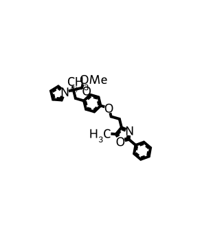 COC(=O)[C@](C)(Cc1ccc(OCCc2nc(-c3ccccc3)oc2C)cc1)n1cccc1